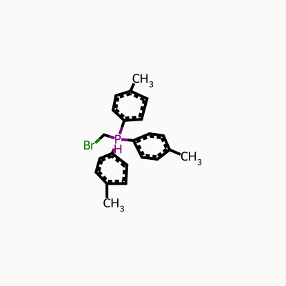 Cc1ccc([PH](CBr)(c2ccc(C)cc2)c2ccc(C)cc2)cc1